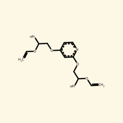 C=COC(CCC)COc1ccnc(OCC(CCC)OC=C)c1